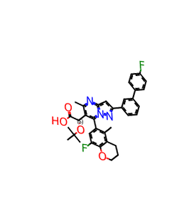 Cc1nc2cc(-c3cccc(-c4ccc(F)cc4)c3)nn2c(-c2cc(F)c3c(c2C)CCCO3)c1[C@H](OC(C)(C)C)C(=O)O